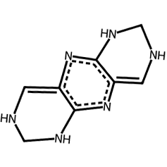 C1=c2nc3c(nc2NCN1)=CNCN3